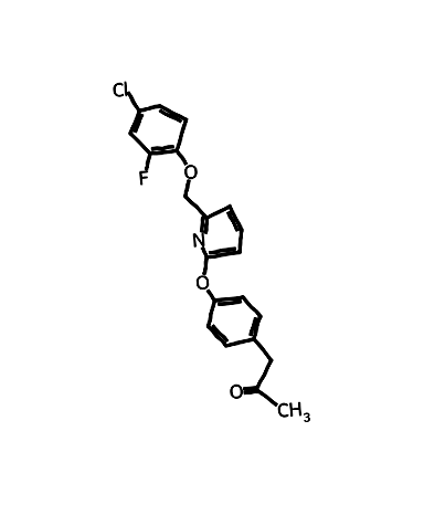 CC(=O)Cc1ccc(Oc2cccc(COc3ccc(Cl)cc3F)n2)cc1